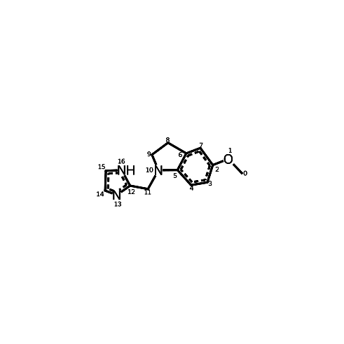 COc1ccc2c(c1)CCN2Cc1ncc[nH]1